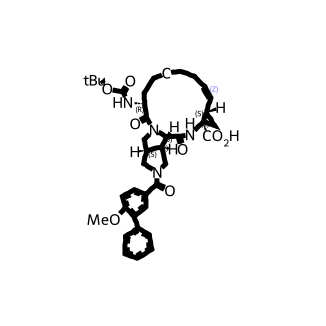 COc1ccc(C(=O)N2C[C@H]3CN4C(=O)[C@H](NC(=O)OC(C)(C)C)CCCCC/C=C\[C@@H]5C[C@@]5(C(=O)O)NC(=O)[C@@H]4[C@H]3C2)cc1-c1ccccc1